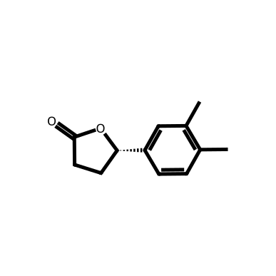 Cc1ccc([C@@H]2CCC(=O)O2)cc1C